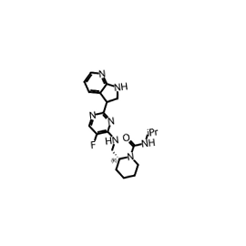 CC(C)NC(=O)N1CCCC[C@@H]1CNc1nc(C2CNc3ncccc32)ncc1F